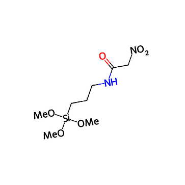 CO[Si](CCCNC(=O)C[N+](=O)[O-])(OC)OC